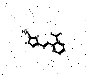 CC(C)c1cccnc1C=Cc1csc(N)n1